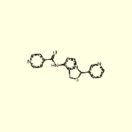 O=C(Nc1ccn2c1CSC2c1cccnc1)c1ccncc1